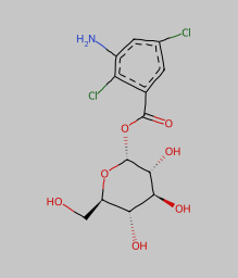 Nc1cc(Cl)cc(C(=O)O[C@H]2O[C@H](CO)[C@@H](O)[C@H](O)[C@H]2O)c1Cl